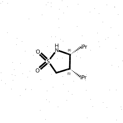 CC(C)[C@H]1NS(=O)(=O)C[C@H]1C(C)C